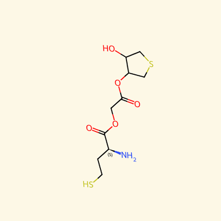 N[C@@H](CCS)C(=O)OCC(=O)OC1CSCC1O